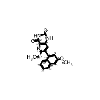 COc1cc(-c2cc3[nH]c(=O)[nH]c(=O)c3nc2OC)c2ccccc2c1